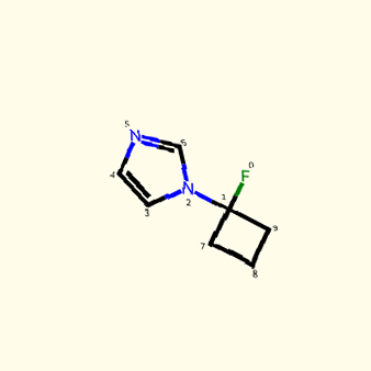 FC1(n2ccnc2)CCC1